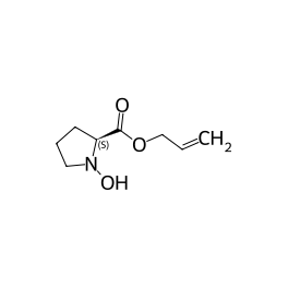 C=CCOC(=O)[C@@H]1CCCN1O